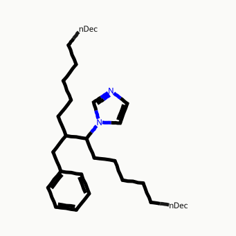 CCCCCCCCCCCCCCCC(Cc1ccccc1)C(CCCCCCCCCCCCCCC)n1ccnc1